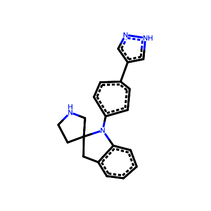 c1ccc2c(c1)CC1(CCNC1)N2c1ccc(-c2cn[nH]c2)cc1